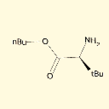 CCCCOC(=O)[C@@H](N)C(C)(C)C